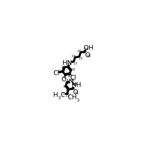 CC(C)c1cc(Oc2c(Cl)cc(NCCCCC(=O)O)cc2Cl)n[nH]c1=O